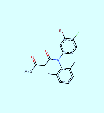 COC(=O)CC(=O)N(c1ccc(F)c(Br)c1)c1c(C)cccc1C